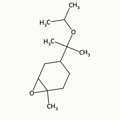 CC(C)OC(C)(C)C1CCC2(C)OC2C1